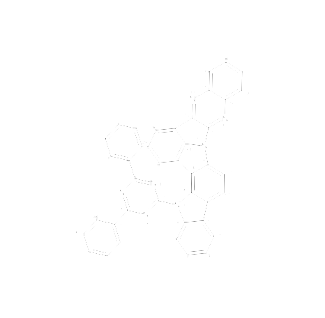 c1ccc(-c2nc(-c3ccccc3)nc(-n3c4ccccc4c4ccc5c(c6cccc7c8nc9ccccc9nc8n5c76)c43)n2)cc1